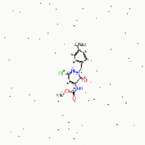 COc1ccc(Cn2nc(Cl)cc(NC(=O)OC(C)(C)C)c2=O)cc1